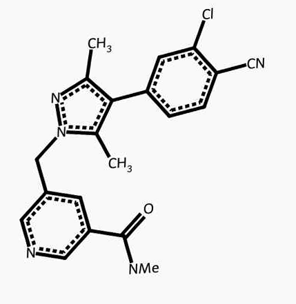 CNC(=O)c1cncc(Cn2nc(C)c(-c3ccc(C#N)c(Cl)c3)c2C)c1